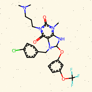 CN(C)CCCn1c(=O)c2c(n(C)c1=O)NC(Oc1cccc(OC(F)(F)F)c1)N2Cc1ccc(Cl)cc1